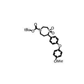 COc1ccc(Oc2ccc(C3CCN(C(=O)OC(C)(C)C)CCS3(=O)=O)cc2)cc1